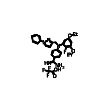 CCOc1cc(OC(C)C)c(F)c(N(Cc2ccn(-c3ccccc3)n2)c2ccc(C(=N)N)cc2)c1.O=C(O)C(F)(F)F